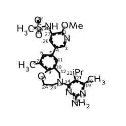 COc1ncc(-c2cc(C)c3c(c2)CN(c2nc(N)nc(C)c2C(C)C)CCO3)cc1NS(C)(=O)=O